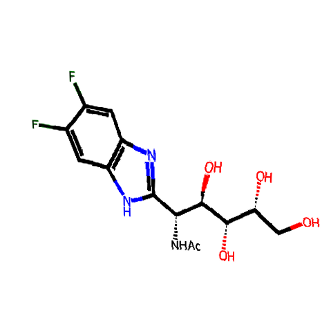 CC(=O)N[C@H](c1nc2cc(F)c(F)cc2[nH]1)[C@@H](O)[C@@H](O)[C@H](O)CO